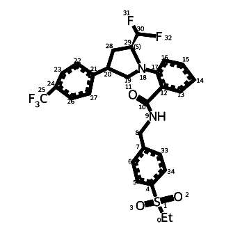 CCS(=O)(=O)c1ccc(CNC(=O)c2ccccc2N2CC(c3ccc(C(F)(F)F)cc3)C[C@H]2C(F)F)cc1